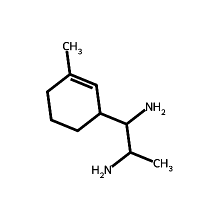 CC1=CC(C(N)C(C)N)CCC1